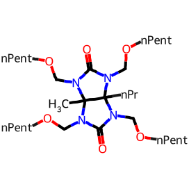 CCCCCOCN1C(=O)N(COCCCCC)C2(CCC)N(COCCCCC)C(=O)N(COCCCCC)C12C